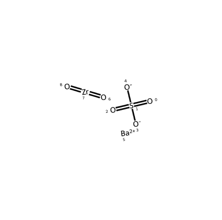 O=S(=O)([O-])[O-].[Ba+2].[O]=[Zr]=[O]